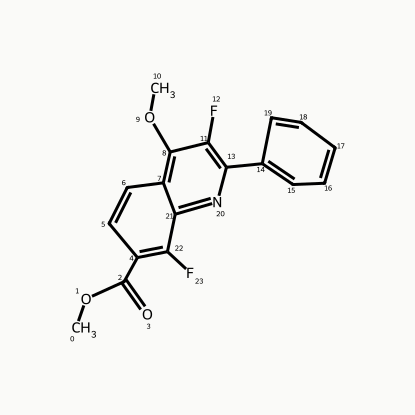 COC(=O)c1ccc2c(OC)c(F)c(-c3ccccc3)nc2c1F